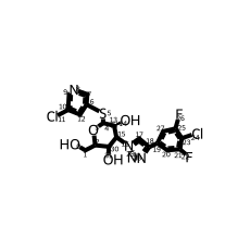 OCC1OC(Sc2cncc(Cl)c2)[C@@H](O)C(n2cc(-c3cc(F)c(Cl)c(F)c3)nn2)C1O